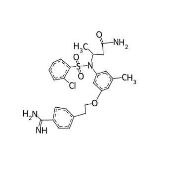 Cc1cc(OCCc2ccc(C(=N)N)cc2)cc(N(C(C)CC(N)=O)S(=O)(=O)c2ccccc2Cl)c1